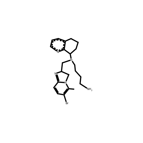 CC1=C(Br)C=CC2=NC(CN(CCCCN)C3CCCc4cccnc43)CN21